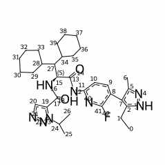 CCc1[nH]nc(C)c1-c1ccc(NC(=O)[C@@H](NC(=O)c2cnnn2C(C)C)C(C2CCCCC2)C2CCCCC2)nc1F